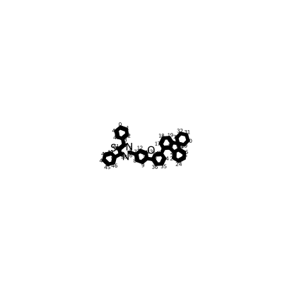 c1ccc(-c2nc(-c3ccc4c(c3)oc3c(-c5cccc6c5-c5ccccc5C65CCCCC5)cccc34)nc3c2sc2ccccc23)cc1